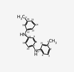 Cc1cccc(Nc2ccc(Nc3cccc(C)c3)cc2)c1